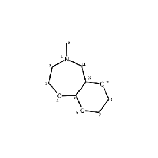 CN1CCOC2OCCOC2C1